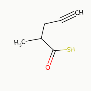 C#CCC(C)C(=O)S